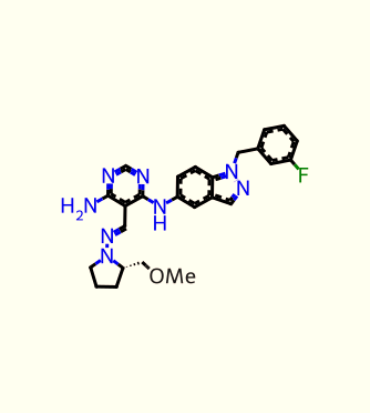 COC[C@@H]1CCCN1N=Cc1c(N)ncnc1Nc1ccc2c(cnn2Cc2cccc(F)c2)c1